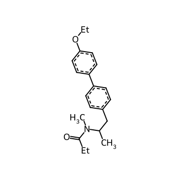 CCOc1ccc(-c2ccc(CC(C)N(C)C(=O)CC)cc2)cc1